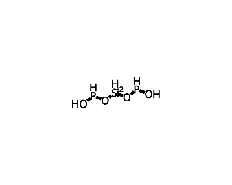 OPO[SiH2]OPO